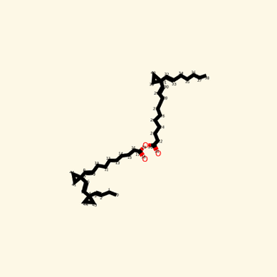 CCC=CC1(C=CC2(C=CCCCCCCCC(=O)OC(=O)CCCCCCCC=CC3(C=CCCCCC)CC3)CC2)CC1